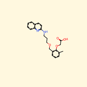 Cc1cccc(COCCCNc2ccc3ccccc3n2)c1OCC(=O)O